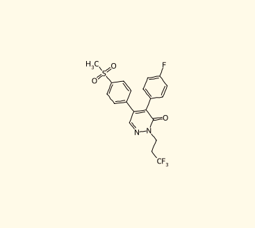 CS(=O)(=O)c1ccc(-c2cnn(CCC(F)(F)F)c(=O)c2-c2ccc(F)cc2)cc1